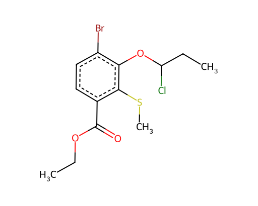 CCOC(=O)c1ccc(Br)c(OC(Cl)CC)c1SC